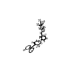 COC(=O)C1CCN(c2cccc(CO[Si](C)(C)C(C)(C)C)n2)CC1